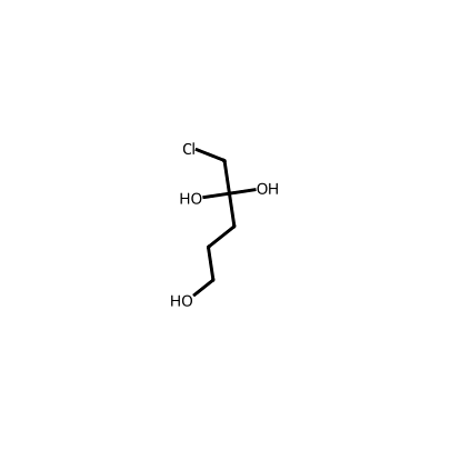 OCCCC(O)(O)CCl